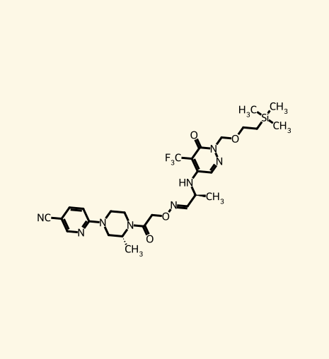 C[C@@H]1CN(c2ccc(C#N)cn2)CCN1C(=O)CO/N=C/[C@H](C)Nc1cnn(COCC[Si](C)(C)C)c(=O)c1C(F)(F)F